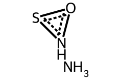 N.[nH]1os1